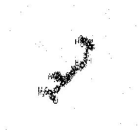 CC1(C)CCC(CN2CCN(c3ccc(C(=O)NS(=O)(=O)c4ccc(NC[C@H]5CC[C@H](NCCCCSc6cccc7c6CN(C6CCC(=O)NC6=O)C7=O)CC5)c([N+](=O)[O-])c4)c(Oc4cnc5[nH]ccc5c4)c3)CC2)=C(c2ccc(Cl)cc2)C1